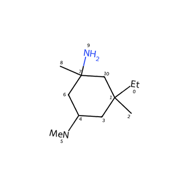 CCC1(C)CC(NC)CC(C)(N)C1